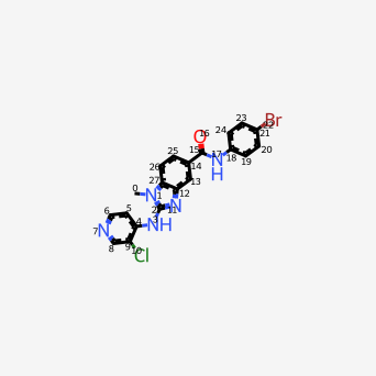 Cn1c(Nc2ccncc2Cl)nc2cc(C(=O)Nc3ccc(Br)cc3)ccc21